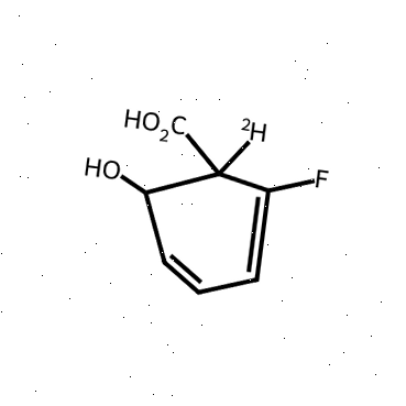 [2H]C1(C(=O)O)C(F)=CC=CC1O